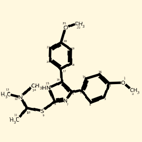 COc1ccc(-c2nc(SC(C)N(C)C)[nH]c2-c2ccc(OC)cc2)cc1